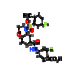 Cc1ccc(F)cc1S(=O)(=O)N1CCOc2ccc(C(=O)Nc3ccc(C(=O)O)c(F)c3)cc21